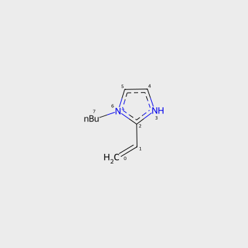 C=Cc1[nH]cc[n+]1CCCC